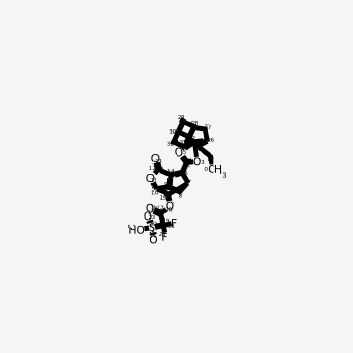 CCC1(OC(=O)C2C3CC4C(OC(=O)C42)C3OC(=O)C(F)(F)S(=O)(=O)O)C2CC3CC4CC1C34C2